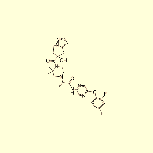 C[C@H](C(=O)Nc1cnc(Oc2ccc(F)cc2F)cn1)N1CCN(C(=O)[C@]2(O)CCn3ncnc3C2)C(C)(C)C1